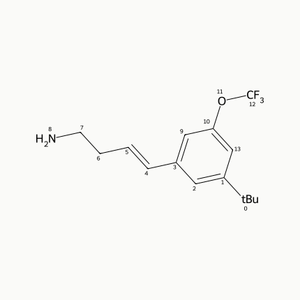 CC(C)(C)c1cc(C=CCCN)cc(OC(F)(F)F)c1